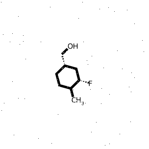 CC1CC[C@H](CO)C[C@@H]1F